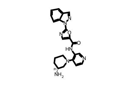 N[C@@H]1CCCN(c2ccncc2NC(=O)c2cnc(-n3ncc4ccccc43)o2)C1